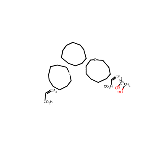 C1CCCCCCCCC1.C1CCCCCCCCC1.C1CCCCCCCCC1.C=CC(=O)O.C=CC(=O)O.CO.CO